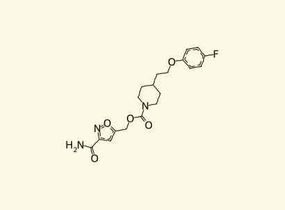 NC(=O)c1cc(COC(=O)N2CCC(CCOc3ccc(F)cc3)CC2)on1